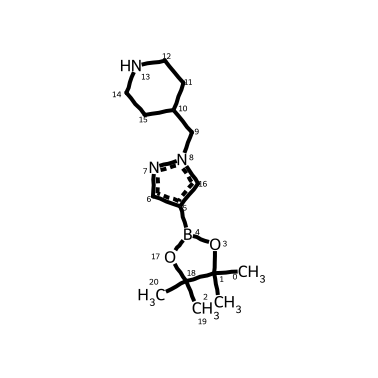 CC1(C)OB(c2cnn(CC3CCNCC3)c2)OC1(C)C